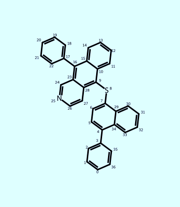 c1ccc(-c2ccc(Sc3c4ccccc4c(-c4ccccc4)c4cnccc34)c3ccccc23)cc1